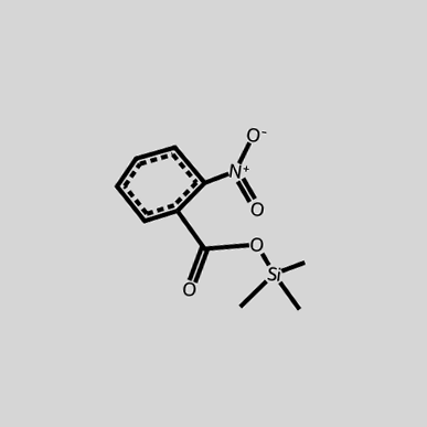 C[Si](C)(C)OC(=O)c1ccccc1[N+](=O)[O-]